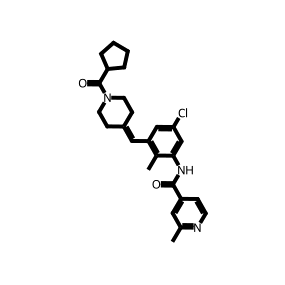 Cc1cc(C(=O)Nc2cc(Cl)cc(C=C3CCN(C(=O)C4CCCC4)CC3)c2C)ccn1